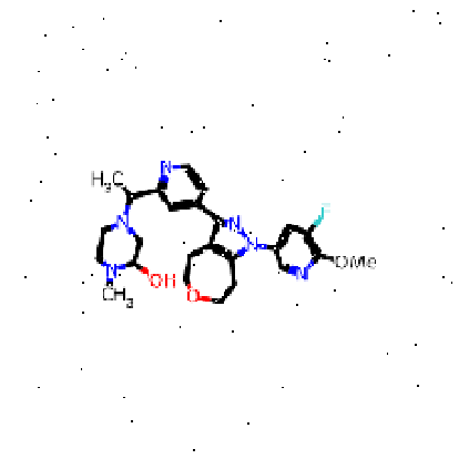 COc1ncc(-n2nc(-c3ccnc(C(C)N4CCN(C)C(O)C4)c3)c3c2CCOCC3)cc1F